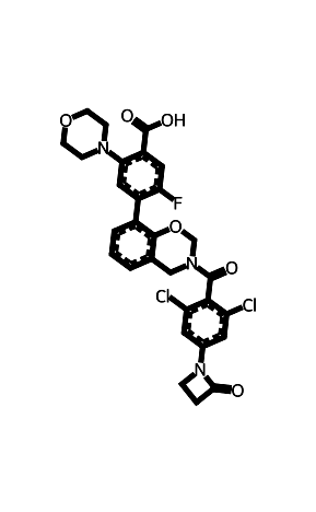 O=C(O)c1cc(F)c(-c2cccc3c2OCN(C(=O)c2c(Cl)cc(N4CCC4=O)cc2Cl)C3)cc1N1CCOCC1